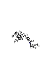 CC(C)Nc1cn2c(C(C)C)cnc2c(NC2CCN(C(=O)O[C@H]3CCN(C(=O)/C=C/CN(C)C)C3)CC2)n1